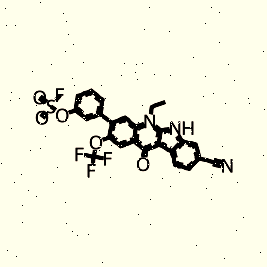 CCn1c2cc(-c3cccc(OS(=O)(=O)F)c3)c(OC(F)(F)F)cc2c(=O)c2c3ccc(C#N)cc3[nH]c21